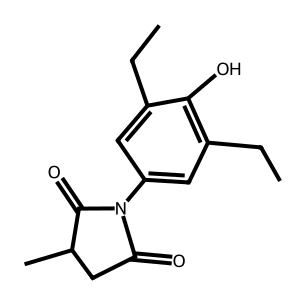 CCc1cc(N2C(=O)CC(C)C2=O)cc(CC)c1O